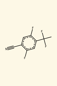 CC(F)(F)c1cc(F)c(C#N)cc1F